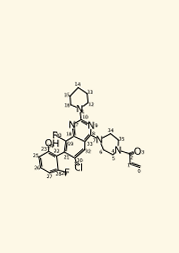 C=CC(=O)N1CCN(c2nc(N3CCCCC3)nc3c(F)c(-c4c(O)cccc4F)c(Cl)cc23)CC1